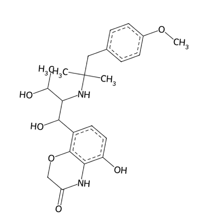 COc1ccc(CC(C)(C)NC(C(C)O)C(O)c2ccc(O)c3c2OCC(=O)N3)cc1